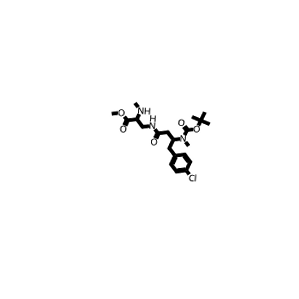 CNC(CNC(=O)CC(Cc1ccc(Cl)cc1)N(C)C(=O)OC(C)(C)C)C(=O)OC